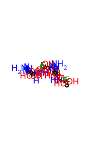 Nc1ncnc2c1ncn2[C@@H]1O[C@H](CNS(=O)(=O)NC(=O)CCC2(O)c3ccc(-c4nc(N)c5ncn([C@@H]6O[C@H](COS(=O)(=O)NC(=O)CCC7(O)c8ccccc8C(O)C7(F)F)[C@@H](O)[C@H]6O)c5n4)cc3C(O)C2(F)F)[C@@H](O)[C@H]1O